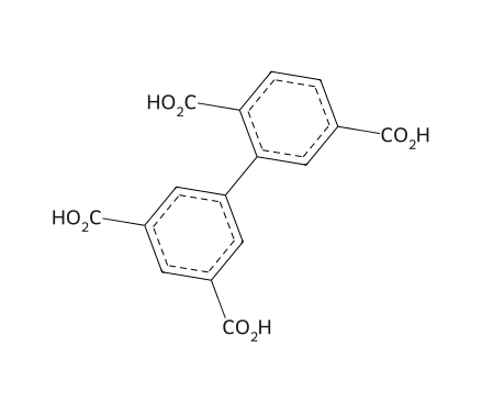 O=C(O)c1cc(C(=O)O)cc(-c2cc(C(=O)O)ccc2C(=O)O)c1